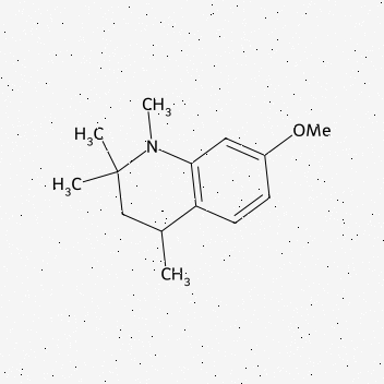 COc1ccc2c(c1)N(C)C(C)(C)CC2C